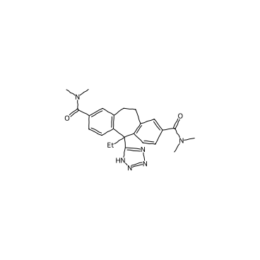 CCC1(c2nnn[nH]2)c2ccc(C(=O)N(C)C)cc2CCc2cc(C(=O)N(C)C)ccc21